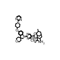 CC1CC2CC(C)C(NC(=O)c3cnc(N4CC5(CCOCC5)c5cc(OC6CCN(c7ncccn7)CC6)ccc54)nc3C(F)(F)F)(C(N)=O)C(C1)C2